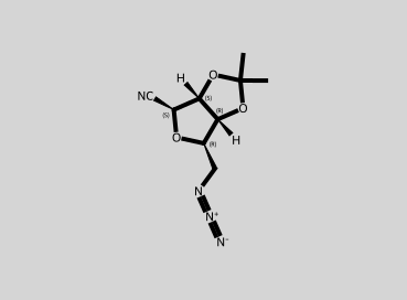 CC1(C)O[C@@H]2[C@H](O1)[C@@H](CN=[N+]=[N-])O[C@H]2C#N